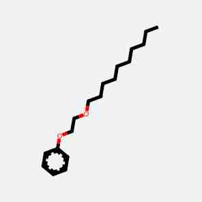 CCCCCCCC[CH]COCCOc1ccccc1